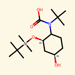 CC(C)(C)N(C(=O)O)C1CC[C@@H](O)C[C@H]1O[Si](C)(C)C(C)(C)C